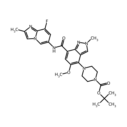 COc1cc(C(=O)Nc2cc(F)c3nc(C)cn3c2)c2nn(C)cc2c1N1CCN(C(=O)OC(C)(C)C)CC1